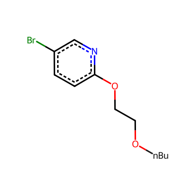 CCCCOCCOc1ccc(Br)cn1